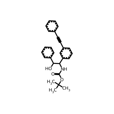 CC(C)(C)OC(=O)NC(c1cccc(C#Cc2ccccc2)c1)C(O)c1ccccc1